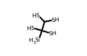 [SiH3]C(S)(S)C(S)S